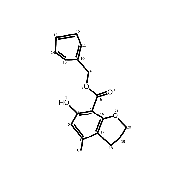 Cc1cc(O)c(C(=O)OCc2ccccc2)c2c1CCCO2